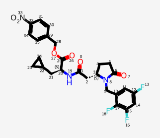 O=C(C[C@@H]1CCC(=O)N1Cc1cc(F)cc(F)c1F)N[C@@H](CC1CC1)C(=O)OCc1ccc([N+](=O)[O-])cc1